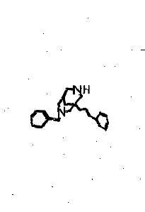 C(=Cc1ccccc1)CC12CNCC(CN(Cc3ccccc3)C1)C2